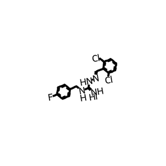 I.N=C(NCc1ccc(F)cc1)N/N=C/c1c(Cl)cccc1Cl